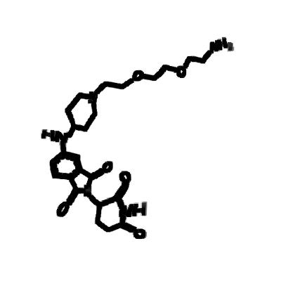 NCCOCCOCCN1CCC(Nc2ccc3c(c2)C(=O)N(C2CCC(=O)NC2=O)C3=O)CC1